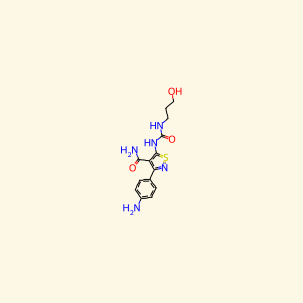 NC(=O)c1c(-c2ccc(N)cc2)nsc1NC(=O)NCCCO